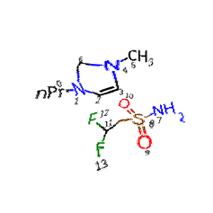 CCCN1C=CN(C)C1.NS(=O)(=O)C(F)F